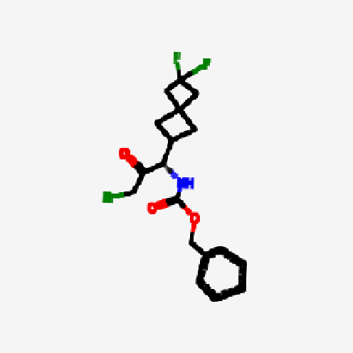 O=C(N[C@H](C(=O)CBr)C1CC2(C1)CC(F)(F)C2)OCc1ccccc1